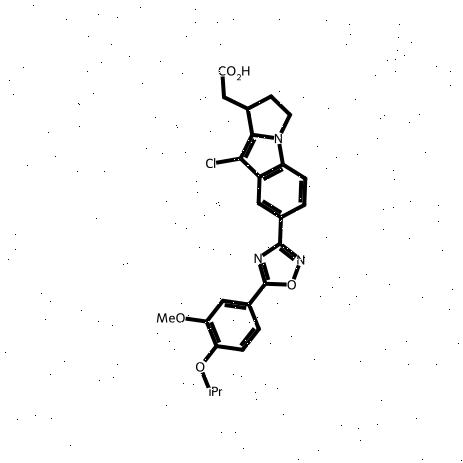 COc1cc(-c2nc(-c3ccc4c(c3)c(Cl)c3n4CCC3CC(=O)O)no2)ccc1OC(C)C